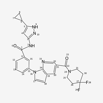 O=C(Nc1cc(C2CC2)[nH]n1)c1cccc(-n2ccc3cc(C(=O)N4CCC(F)(F)CC4)cnc32)c1